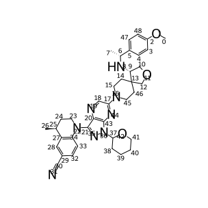 COc1ccc([C@@H](C)N[C@@H]2COCC23CCN(c2cnc4c(N5CC[C@H](C)c6cc(C#N)ccc65)nn(C5CCCCO5)c4n2)CC3)cc1